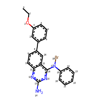 CCOc1cccc(-c2ccc3nc(N)nc(N(Br)c4ccccc4)c3c2)c1